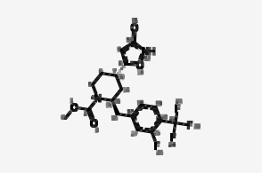 COC(=O)N1CC[C@H](c2cc(=O)[nH]o2)C[C@H]1Cc1ccc(C(F)(F)F)c(F)c1